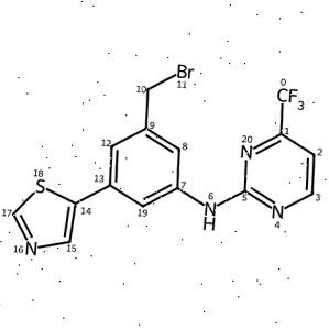 FC(F)(F)c1ccnc(Nc2cc(CBr)cc(-c3cncs3)c2)n1